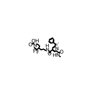 CNC(=O)c1cc(C(=O)NCCCC2CCN(C(=O)O)CC2(F)F)cc([C@@H](C)c2ccccc2)n1